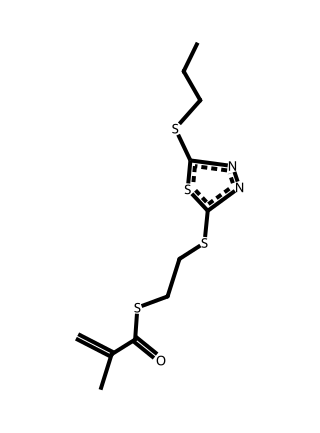 C=C(C)C(=O)SCCSc1nnc(SCCC)s1